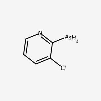 Clc1cccnc1[AsH2]